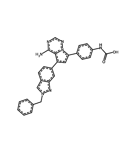 Nc1ncnn2c(-c3ccc(NC(=O)O)cc3)cc(-c3ccc4cn(Cc5ccccc5)nc4c3)c12